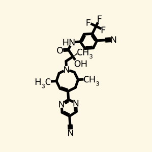 CC1/C=C(/c2ncc(C#N)cn2)CC(C)CN(C[C@](C)(O)C(=O)Nc2ccc(C#N)c(C(F)(F)F)c2)C1